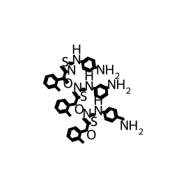 Cc1ccccc1C(=O)c1cnc(Nc2ccc(CN)cc2)s1.Cc1ccccc1C(=O)c1cnc(Nc2cccc(N)c2)s1.Cc1ccccc1C(=O)c1csc(Nc2ccc(N)cc2)n1